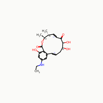 CCNc1cc(O)c2c(c1)/C=C/C[C@H](O)C(O)C(=O)/C=C/[C@@H](C)[C@H](C)OC2=O